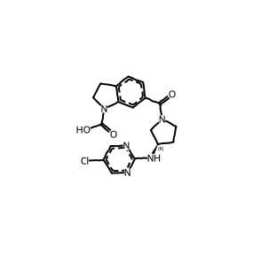 O=C(c1ccc2c(c1)N(C(=O)O)CC2)N1CC[C@@H](Nc2ncc(Cl)cn2)C1